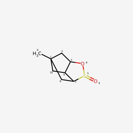 CC12CC3OS(=O)C(C1)C3C2